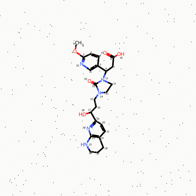 COc1ccc(C(CC(=O)O)N2CCN(CCC(O)c3ccc4c(n3)NCCC4)C2=O)cn1